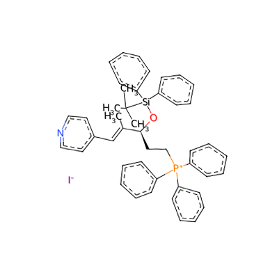 C/C(=C\c1ccncc1)[C@H](CC[P+](c1ccccc1)(c1ccccc1)c1ccccc1)O[Si](c1ccccc1)(c1ccccc1)C(C)(C)C.[I-]